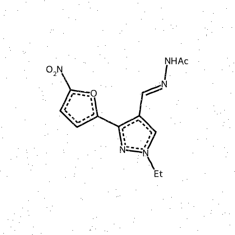 CCn1cc(/C=N/NC(C)=O)c(-c2ccc([N+](=O)[O-])o2)n1